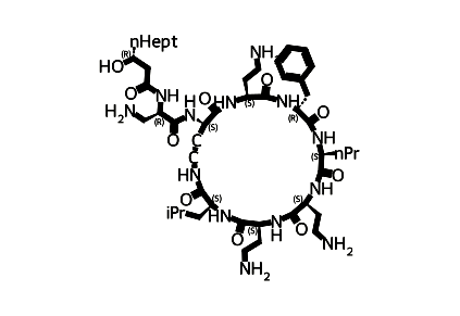 CCCCCCC[C@@H](O)CC(=O)N[C@H](CN)C(=O)N[C@H]1CCNC(=O)[C@H](CC(C)C)NC(=O)[C@H](CCN)NC(=O)[C@H](CCN)NC(=O)[C@H](CCC)NC(=O)[C@@H](Cc2ccccc2)NC(=O)[C@H](CCN)NC1=O